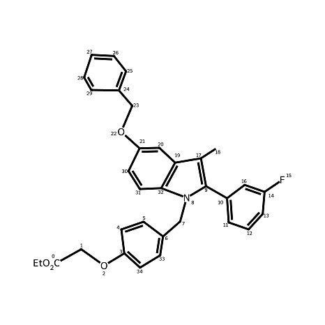 CCOC(=O)COc1ccc(Cn2c(-c3cccc(F)c3)c(C)c3cc(OCc4ccccc4)ccc32)cc1